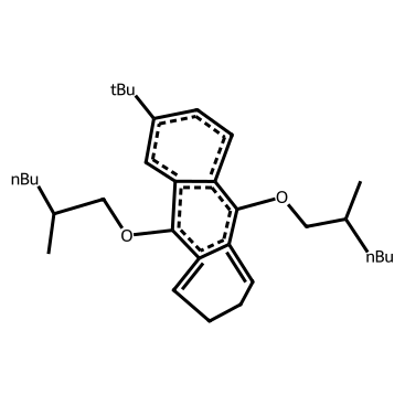 CCCCC(C)COc1c2c(c(OCC(C)CCCC)c3cc(C(C)(C)C)ccc13)=CCCC=2